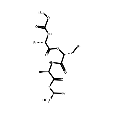 CC(C)C[C@@H](OC(=O)[C@@H](NC(=O)OC(C)(C)C)C(C)C)C(=O)N[C@H](C)C(=O)O[C@H](C(=O)O)C(C)C